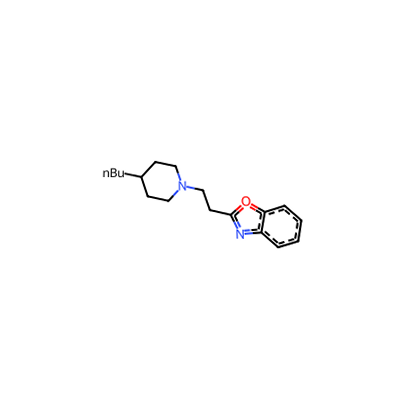 CCCCC1CCN(CCc2nc3ccccc3o2)CC1